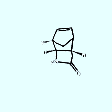 O=C1N[C@@H]2[C@H]3C=CC(C3)[C@H]12